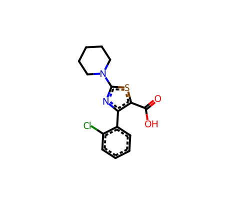 O=C(O)c1sc(N2CCCCC2)nc1-c1ccccc1Cl